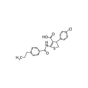 CCCc1ccc(C(=O)NC2=C(C(=O)O)C(c3ccc(Cl)cc3)CS2)cc1